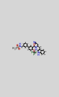 CS(=O)(=O)NCc1cccc(-c2ccc(OC(F)(F)F)c(C(=O)NC(CC#N)Cc3c[nH]c4ccccc34)c2)c1